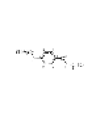 CCCCCCCCc1ccc(O[CH]C=O)cc1